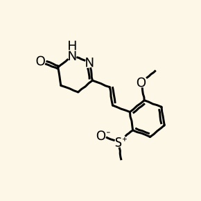 COc1cccc([S+](C)[O-])c1C=CC1=NNC(=O)CC1